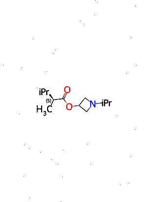 CC(C)[C@H](C)C(=O)OC1CN(C(C)C)C1